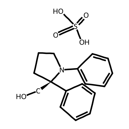 O=S(=O)(O)O.OC[C@@]1(c2ccccc2)CCCN1c1ccccc1